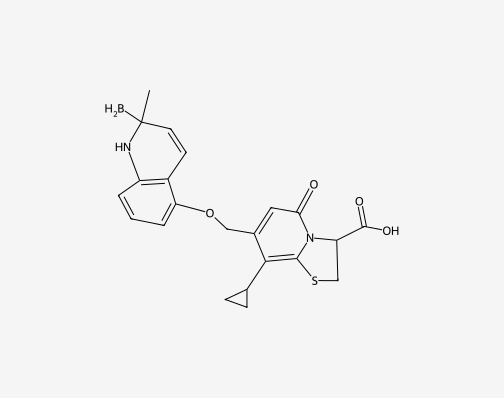 BC1(C)C=Cc2c(cccc2OCc2cc(=O)n3c(c2C2CC2)SCC3C(=O)O)N1